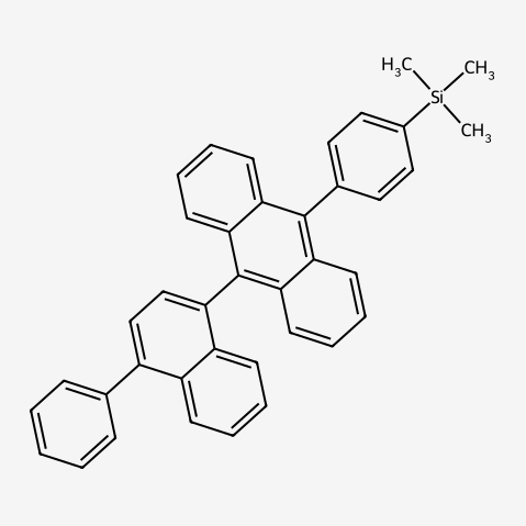 C[Si](C)(C)c1ccc(-c2c3ccccc3c(-c3ccc(-c4ccccc4)c4ccccc34)c3ccccc23)cc1